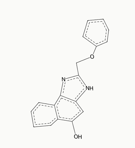 Oc1cc2[nH]c(COc3ccccc3)nc2c2ccccc12